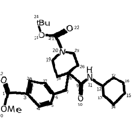 COC(=O)c1ccc(CC2(C(=O)NC3CCCCC3)CCN(C(=O)OC(C)(C)C)CC2)cc1